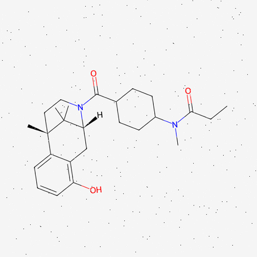 CCC(=O)N(C)C1CCC(C(=O)N2CC[C@@]3(C)c4cccc(O)c4C[C@@H]2C3(C)C)CC1